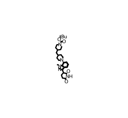 Cn1nc(C2CCC(=O)NC2=O)c2cccc(N3CCC(CC4CCN(C(=O)OC(C)(C)C)CC4)CC3)c21